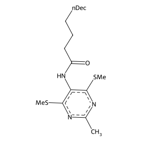 CCCCCCCCCCCCCC(=O)Nc1c(SC)nc(C)nc1SC